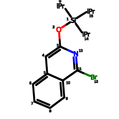 CC(C)[Si](Oc1cc2ccccc2c(Br)n1)(C(C)C)C(C)C